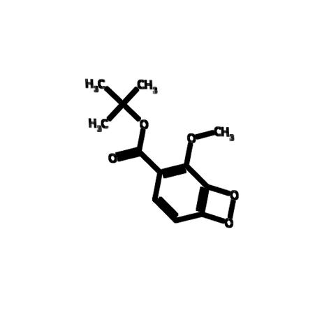 COc1c(C(=O)OC(C)(C)C)ccc2ooc12